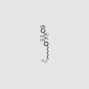 CCCCCCCCc1ccc(NC(=S)NC(=O)c2ccc3nccn3c2)cc1